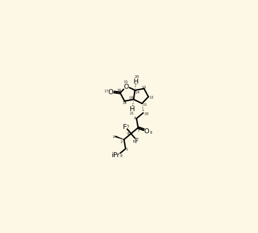 CC(C)C[C@@H](C)C(F)(F)C(=O)CC[C@H]1CC[C@@H]2OC(=O)C[C@H]12